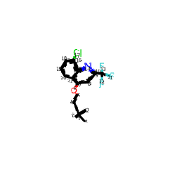 CC(C)(C)CCOc1cc(C(F)(F)F)nc2c(Cl)cccc12